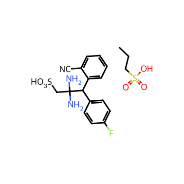 CCCS(=O)(=O)O.N#Cc1ccccc1C(c1ccc(F)cc1)C(N)(N)CS(=O)(=O)O